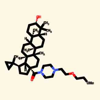 COCCOCCN1CCN(C(=O)[C@]23CC[C@@H](C4(C)CC4)[C@@H]2[C@H]2CC[C@@H]4[C@@]5(C)CC[C@H](O)C(C)(C)[C@@H]5CC[C@@]4(C)[C@]2(C)CC3)CC1